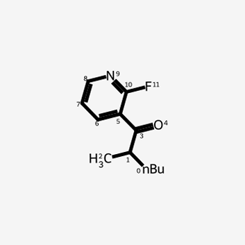 CCCCC(C)C(=O)c1cccnc1F